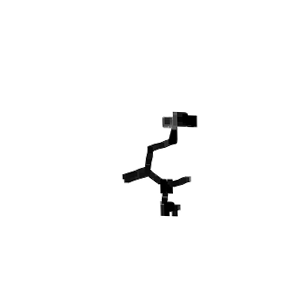 C=C(CC[C@H](C)CC)N(C)C(C)C